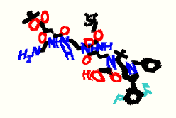 CC(C)(C)OC(=O)CC[C@@H](NC(=O)CN)C(=O)NCCNC(=O)[C@H](CCN(C(=O)CO)[C@@H](c1cc(-c2cc(F)ccc2F)cn1Cc1ccccc1)C(C)(C)C)NC(=O)OCC[Si](C)(C)C